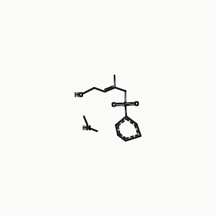 CC(=CCO)CS(=O)(=O)c1ccccc1.CNC